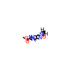 CCOC(=O)c1cn([C@H](C)c2cnc(N3C[C@H]4C[C@H]4C3=O)cc2C)nn1